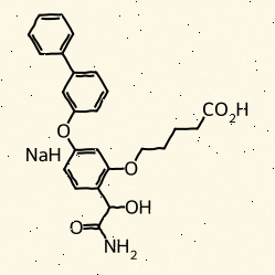 NC(=O)C(O)c1ccc(Oc2cccc(-c3ccccc3)c2)cc1OCCCCC(=O)O.[NaH]